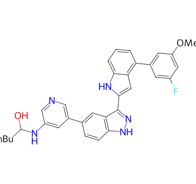 CCCCC(O)Nc1cncc(-c2ccc3[nH]nc(-c4cc5c(-c6cc(F)cc(OC)c6)cccc5[nH]4)c3c2)c1